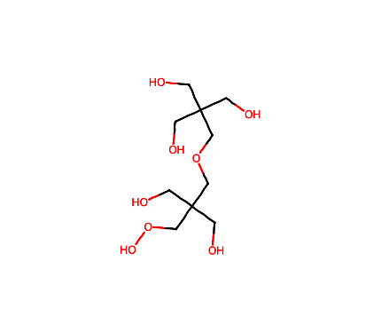 OCC(CO)(CO)COCC(CO)(CO)COO